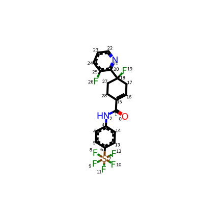 O=C(Nc1ccc(S(F)(F)(F)(F)F)cc1)C1=CCC(F)(c2ncccc2F)CC1